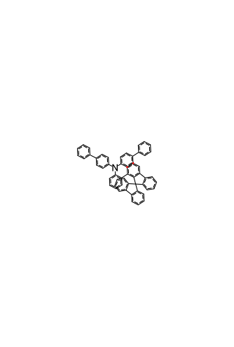 c1ccc(-c2ccc(N(c3ccc(-c4ccccc4)cc3)c3ccccc3-c3cccc4c3C3(c5ccccc5-c5ccccc53)c3ccccc3-4)cc2)cc1